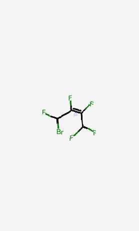 F/C(=C(\F)C(F)Br)C(F)F